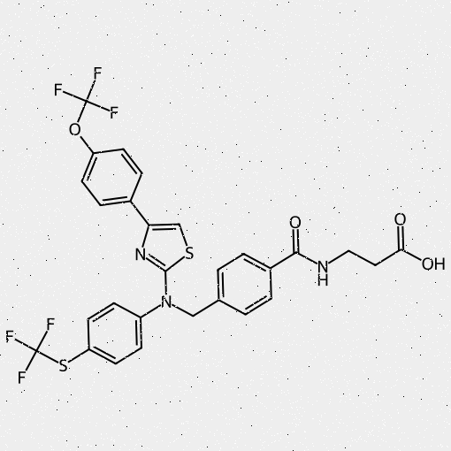 O=C(O)CCNC(=O)c1ccc(CN(c2ccc(SC(F)(F)F)cc2)c2nc(-c3ccc(OC(F)(F)F)cc3)cs2)cc1